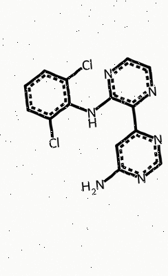 Nc1cc(-c2nccnc2Nc2c(Cl)cccc2Cl)ncn1